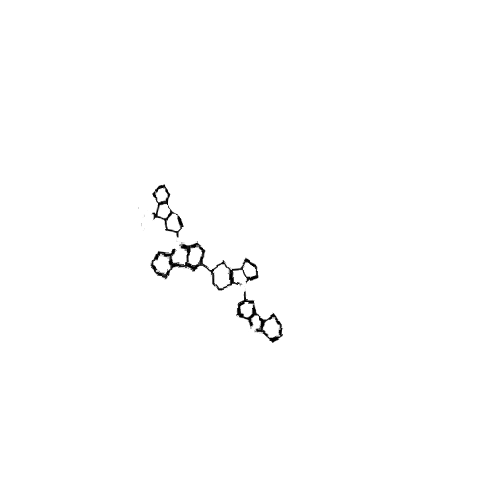 CC1(C)C2=C(C=CC(n3c4ccccc4c4cc(C5CCC6=C(C5)C5C=CC=C5N6c5ccc6oc7ccccc7c6c5)ccc43)C2)c2ccccc21